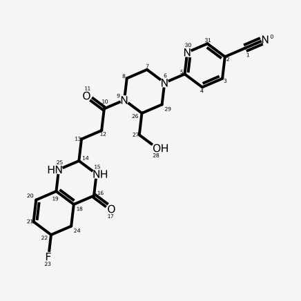 N#Cc1ccc(N2CCN(C(=O)CCC3NC(=O)C4=C(C=CC(F)C4)N3)C(CO)C2)nc1